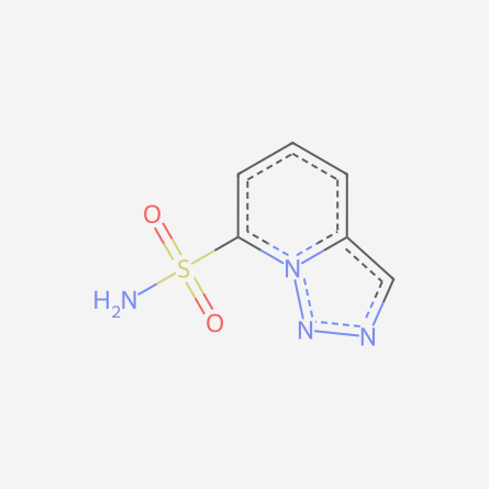 NS(=O)(=O)c1cccc2cnnn12